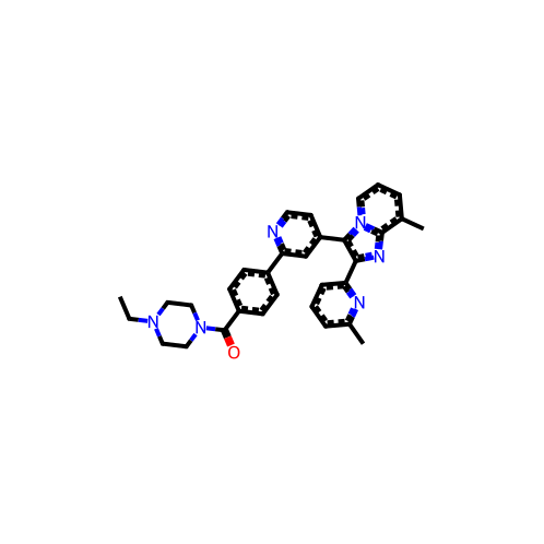 CCN1CCN(C(=O)c2ccc(-c3cc(-c4c(-c5cccc(C)n5)nc5c(C)cccn45)ccn3)cc2)CC1